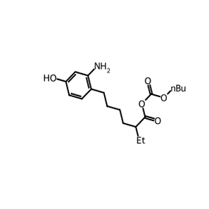 CCCCOC(=O)OC(=O)C(CC)CCCCc1ccc(O)cc1N